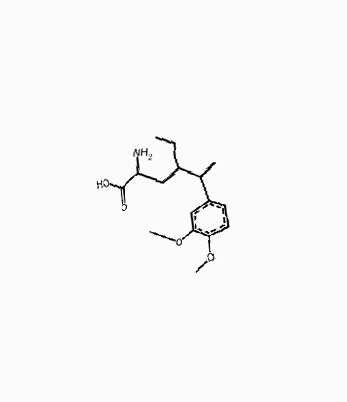 CCC(CC(N)C(=O)O)C(C)c1ccc(OC)c(OC)c1